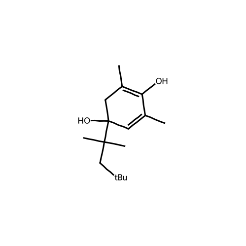 CC1=CC(O)(C(C)(C)CC(C)(C)C)CC(C)=C1O